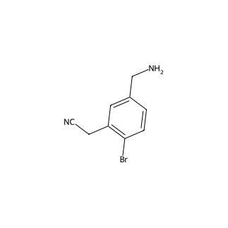 N#CCc1cc(CN)ccc1Br